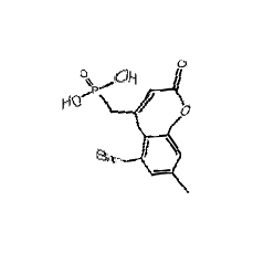 Cc1cc(Br)c2c(CP(=O)(O)O)cc(=O)oc2c1